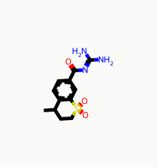 CC1CCS(=O)(=O)c2cc(C(=O)N=C(N)N)ccc21